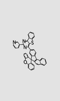 c1cncc(-c2nc(-c3ccc4c(c3)C3(c5ccccc5Oc5ccccc53)c3ccc5ccccc5c3-4)c3sc4ccccc4c3n2)c1